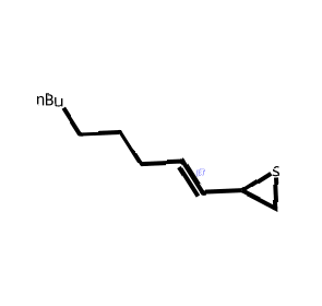 CCCCCCC/C=C/C1CS1